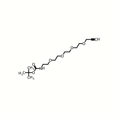 C#CCOCCOCCOCCOCCNC(=O)OC(C)(C)C